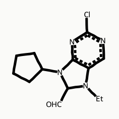 CCN1c2cnc(Cl)nc2N(C2CCCC2)C1C=O